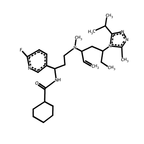 C=CC(CC(CC)n1c(C)nnc1C(C)C)N(C)CCC(NC(=O)C1CCCCC1)c1ccc(F)nc1